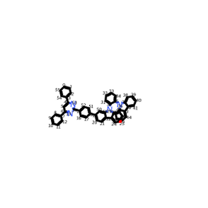 c1ccc(-c2cc(-c3ccccc3)nc(-c3ccc(-c4ccc5c6ccccc6n(-c6ccccc6-n6c7ccccc7c7ccccc76)c5c4)cc3)n2)cc1